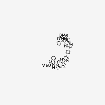 COC(=O)N[C@@H](C(=O)N1CCC[C@H]1c1ncc(-c2ccc(-c3ccc(-c4cnc([C@@H]5CCCN5C(=O)[C@H](NC(=O)OC)c5ccccc5)[nH]4)nn3)cc2)[nH]1)c1ccccc1